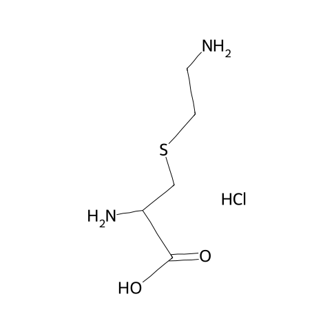 Cl.NCCSCC(N)C(=O)O